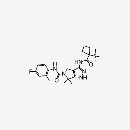 Cc1cc(F)ccc1NC(=O)N1Cc2c(NC(=O)C3(S(C)(C)C)CCC3)n[nH]c2C1(C)C